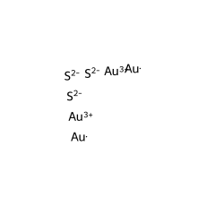 [Au+3].[Au+3].[Au].[Au].[S-2].[S-2].[S-2]